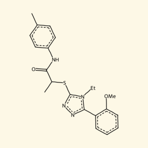 CCn1c(SC(C)C(=O)Nc2ccc(C)cc2)nnc1-c1ccccc1OC